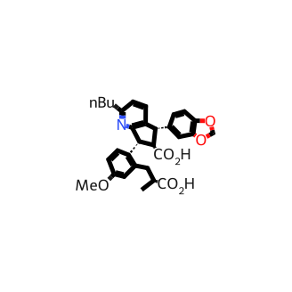 CCCCc1ccc2c(n1)[C@@H](c1ccc(OC)cc1C[C@H](C)C(=O)O)[C@H](C(=O)O)[C@H]2c1ccc2c(c1)OCO2